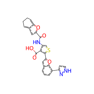 O=C(Nc1csc(-c2cc3cccc(-c4cc[nH]n4)c3o2)c1C(=O)O)c1cc2c(o1)=CCCC=2